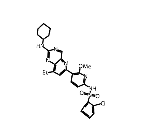 CCc1cc(-c2ccc(NS(=O)(=O)c3ccccc3Cl)nc2OC)nc2cnc(NC3CCCCC3)nc12